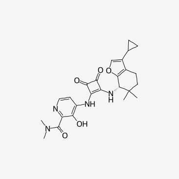 CN(C)C(=O)c1nccc(Nc2c(N[C@@H]3c4occ(C5CC5)c4CCC3(C)C)c(=O)c2=O)c1O